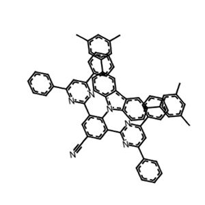 Cc1cc(C)cc(-c2ccc3c(c2)c2cc(-c4cc(C)cc(C)c4)ccc2n3-c2c(-c3nc(-c4ccccc4)cc(-c4ccccc4)n3)cc(C#N)cc2-c2nc(-c3ccccc3)cc(-c3ccccc3)n2)c1